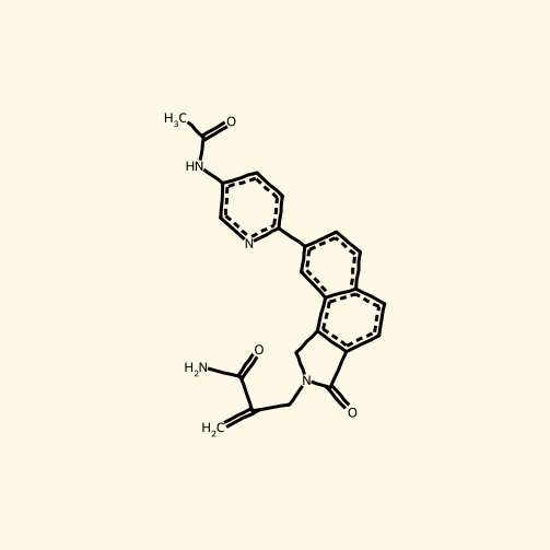 C=C(CN1Cc2c(ccc3ccc(-c4ccc(NC(C)=O)cn4)cc23)C1=O)C(N)=O